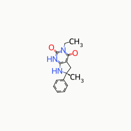 CCn1c(=O)[nH]c2c(c1=O)C[C@](C)(c1ccccc1)N2